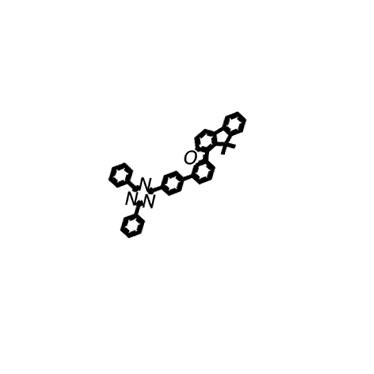 CC1(C)c2ccccc2-c2ccc3oc4c(-c5ccc(-c6nc(-c7ccccc7)nc(-c7ccccc7)n6)cc5)cccc4c3c21